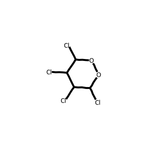 ClC1OOC(Cl)C(Cl)C1Cl